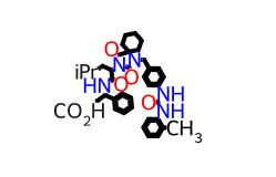 Cc1ccccc1NC(=O)Nc1ccc(CN2C(=O)N(C(CC(C)C)C(=O)NC(CC(=O)O)c3ccccc3)C(=O)C23CCCCC3)cc1